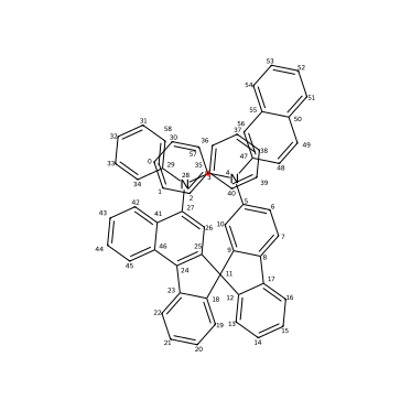 c1ccc(N(c2ccc3c(c2)C2(c4ccccc4-3)c3ccccc3-c3c2cc(N(c2ccccc2)c2ccccc2)c2ccccc32)c2ccc3ccccc3c2)cc1